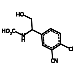 N#Cc1cc(C(CO)NC(=O)O)ccc1Cl